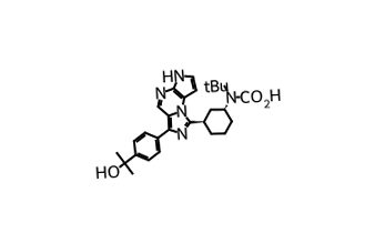 CC(C)(O)c1ccc(-c2nc([C@@H]3CCC[C@@H](N(C(=O)O)C(C)(C)C)C3)n3c2cnc2[nH]ccc23)cc1